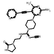 Cc1nc(N)nc(N2CCN(/C(=N\C#N)NCCN3CCNC3=O)CC2)c1C#Cc1cccnc1